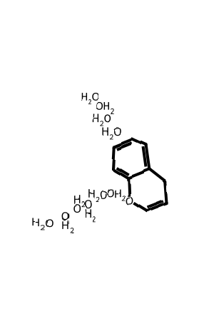 C1=COc2ccccc2C1.O.O.O.O.O.O.O.O.O.O